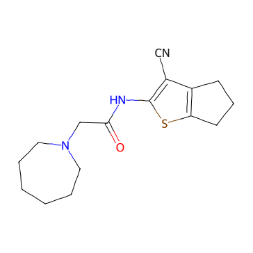 N#Cc1c(NC(=O)CN2CCCCCC2)sc2c1CCC2